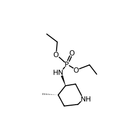 CCOP(=O)(N[C@H]1CNCC[C@@H]1C)OCC